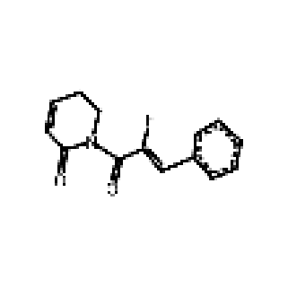 O=C1C=CCCN1C(=O)/C(F)=C/c1ccccc1